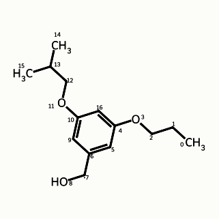 CCCOc1cc([CH]O)cc(OCC(C)C)c1